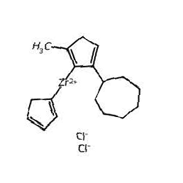 CC1=[C]([Zr+2][C]2=CC=CC2)C(C2CCCCCC2)=CC1.[Cl-].[Cl-]